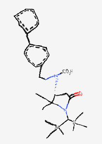 CC1(C)[C@H](N(Cc2ccc(-c3ccccc3)cc2)C(=O)O)C(=O)N1C([Si](C)(C)C)[Si](C)(C)C